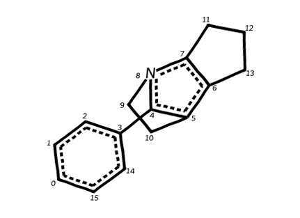 c1ccc(-c2c3c4c(n2CC3)CCC4)cc1